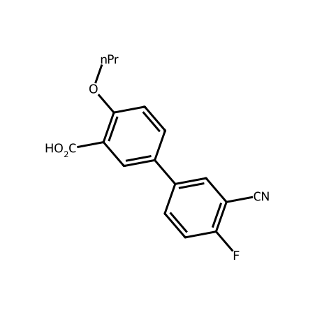 CCCOc1ccc(-c2ccc(F)c(C#N)c2)cc1C(=O)O